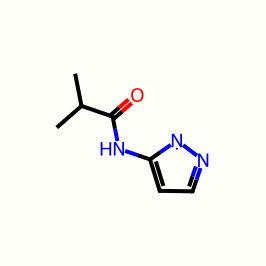 CC(C)C(=O)NC1=CC=N[N]1